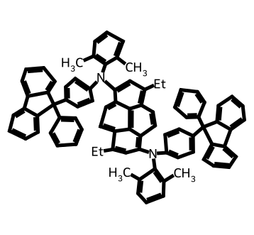 CCc1cc(N(c2ccc(C3(c4ccccc4)c4ccccc4-c4ccccc43)cc2)c2c(C)cccc2C)c2ccc3c(CC)cc(N(c4ccc(C5(c6ccccc6)c6ccccc6-c6ccccc65)cc4)c4c(C)cccc4C)c4ccc1c2c34